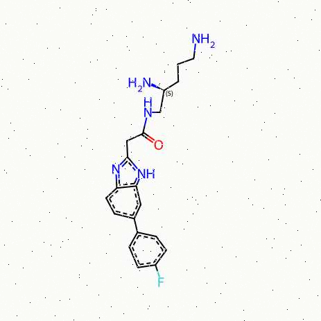 NCCC[C@H](N)CNC(=O)Cc1nc2ccc(-c3ccc(F)cc3)cc2[nH]1